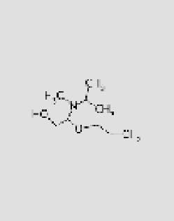 CCCOC(CO)N(C)C(C)C